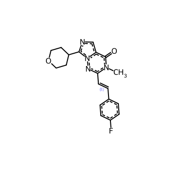 Cn1c(/C=C/c2ccc(F)cc2)nn2c(C3CCOCC3)ncc2c1=O